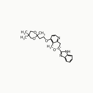 Cc1c(OCCC2(C)OCC(C)(C)CO2)ccnc1C[S+]([O-])c1nc2ccccc2[nH]1